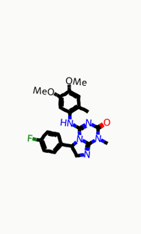 COc1cc(C)c(NC2=NC(=O)N(C)C3=NCC(c4ccc(F)cc4)N23)cc1OC